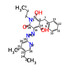 CCCn1c(O)c(Cc2ccccc2)c(O)c(N=Nc2cc(C)c(CC)cn2)c1=O